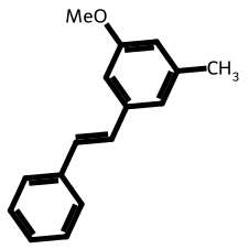 COc1cc(C)cc(/C=C/c2ccccc2)c1